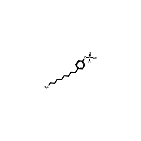 CCCCCCCCCc1ccc(OP(=O)(O)O)cc1